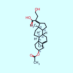 CC(=O)O[C@H]1CC[C@@]2(C)C(=CC[C@@H]3[C@@H]2CC[C@]2(C)C(=C(CCO)C(=O)O)CC[C@@H]32)C1